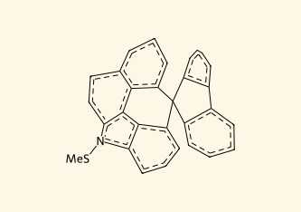 CSn1c2cccc3c2c2c4c(cccc4ccc21)C31c2ccccc2-c2ccccc21